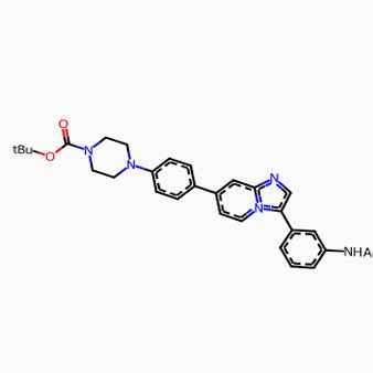 CC(=O)Nc1cccc(-c2cnc3cc(-c4ccc(N5CCN(C(=O)OC(C)(C)C)CC5)cc4)ccn23)c1